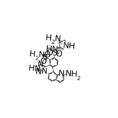 Nc1ccc2cccc(-c3ccc(S(=O)(=O)N[C@@H]4CNC[C@@H]4N)c(S(N)(=O)=O)c3-c3nn[nH]n3)c2n1